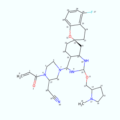 C=CC(=O)N1CCN(C2NC(OCC3CCCN3C)NC3C[C@@]4(CCc5c(F)cccc5O4)CCC32)CC1CC#N